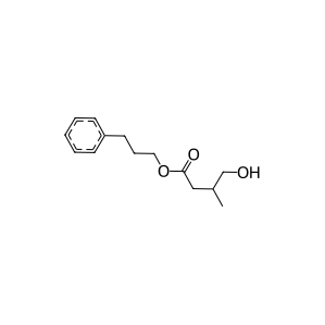 CC(CO)CC(=O)OCCCc1ccccc1